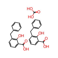 O=C(O)O.O=C(O)c1cccc(Cc2ccccc2)c1O.O=C(O)c1cccc(Cc2ccccc2)c1O